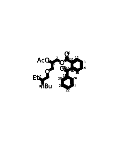 CCCCC(CC)COCC(COC(=O)c1ccccc1C(=O)c1ccccc1)OC(C)=O